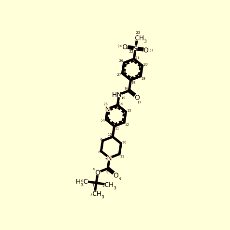 CC(C)(C)OC(=O)N1CCC(c2ccc(NC(=O)c3ccc(S(C)(=O)=O)cc3)nc2)CC1